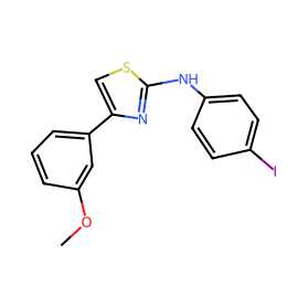 COc1cccc(-c2csc(Nc3ccc(I)cc3)n2)c1